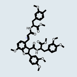 COC(=O)C(Cc1ccc(C)c(OC)c1)NC(=O)/C=C/c1ccc(OC)c2c1C(C(=O)NC(Cc1ccc(OC)c(OC)c1)C(=O)OC)C(c1ccc(OC)c(OC)c1)O2